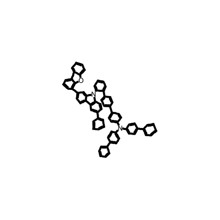 c1ccc(-c2ccc(N(c3ccc(-c4ccccc4)cc3)c3ccc(-c4ccc(-c5ccccc5-n5c6ccc(-c7ccccc7)cc6c6ccc(-c7cccc8c7oc7ccccc78)cc65)cc4)cc3)cc2)cc1